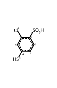 O=S(=O)(O)c1ccc(S)cc1Cl